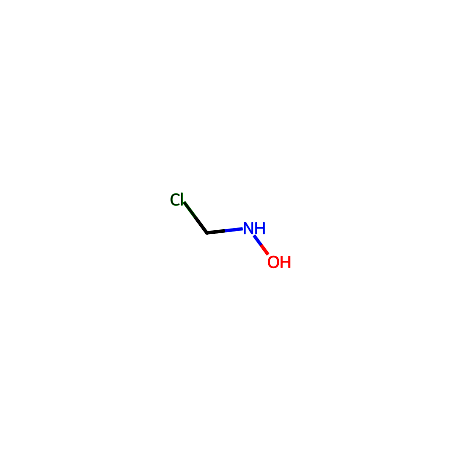 ONCCl